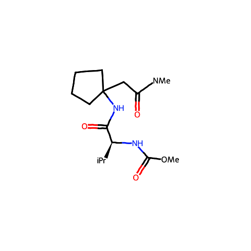 CNC(=O)CC1(NC(=O)[C@@H](NC(=O)OC)C(C)C)CCCC1